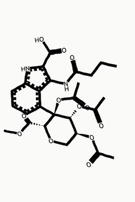 CCCC(=O)Nc1c(C(=O)O)[nH]c2cccc([C@@]3(OC(C)=O)[C@@H](C(=O)OC)OC[C@H](OC(C)=O)[C@H]3OC(C)=O)c12